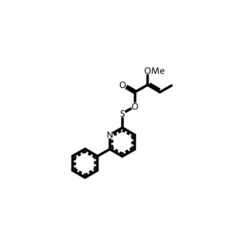 CC=C(OC)C(=O)OSc1cccc(-c2ccccc2)n1